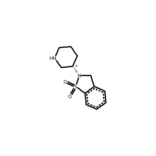 O=S1(=O)c2ccccc2CN1[C@H]1CCCNC1